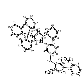 CCCCN1NC(c2ccccc2)=C(C(=O)OCC)C1Cc1ccc(-c2ccccc2-c2nnn(C(c3ccccc3)(c3ccccc3)c3ccccc3)n2)cc1